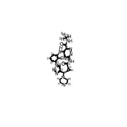 [2H]C([2H])([2H])NC(=O)c1nnc(NC(=O)C2CC2)cc1Nc1cccc(-n2cc(CN3CCSCC3)nn2)c1OC